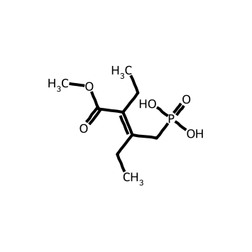 CCC(CP(=O)(O)O)=C(CC)C(=O)OC